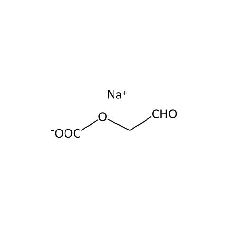 O=CCOC(=O)[O-].[Na+]